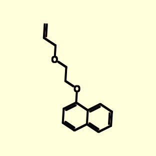 C=CCOCCOc1cccc2ccccc12